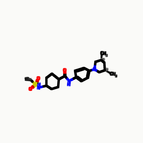 C[C@@H]1C[C@H](C)CN(c2ccc(NC(=O)C3CCC(NS(=O)(=O)C(C)(C)C)CC3)cc2)C1